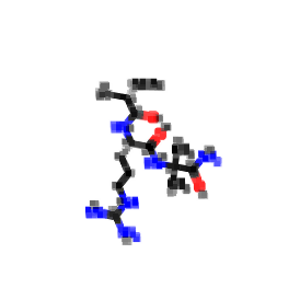 CC(=O)N[C@H](C(=O)N[C@@H](CCCNC(=N)N)C(=O)NC(C)(C)C(N)=O)C(C)C